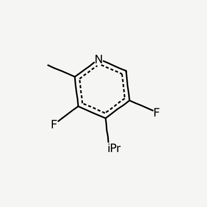 Cc1ncc(F)c(C(C)C)c1F